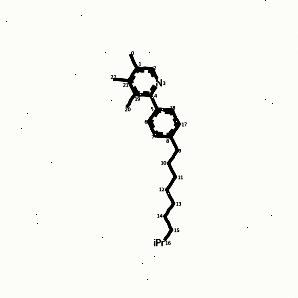 Cc1cnc(-c2ccc(CCCCCCCC(C)C)cc2)c(C)c1C